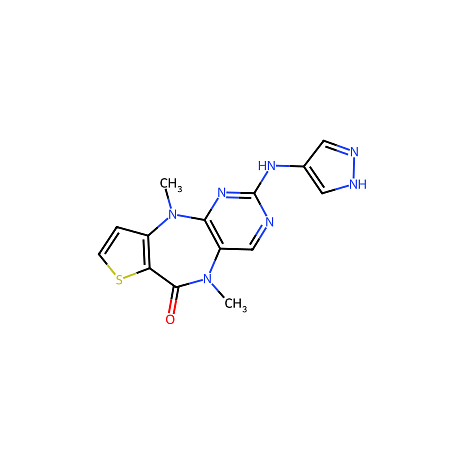 CN1C(=O)c2sccc2N(C)c2nc(Nc3cn[nH]c3)ncc21